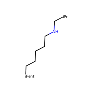 CCCC(C)CCCCCNCC(C)C